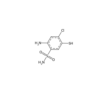 Nc1cc(Cl)c(S)cc1S(N)(=O)=O